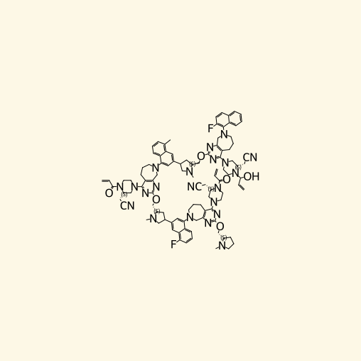 C=CC(=O)N1CCN(c2nc(OC[C@@H]3CC(c4cc(N5CCCc6c(nc(OC[C@@H]7CCCN7C)nc6N6CCN(C(=O)C=C)[C@@H](CC#N)C6)C5)c5cccc(F)c5c4)CN3C)nc3c2CCCN(c2cc(C4C[C@@H](COc5nc6c(c(N7CCN(C(O)C=C)[C@@H](CC#N)C7)n5)CCCN(c5c(F)ccc7ccccc57)C6)N(C)C4)cc4c(C)cccc24)C3)C[C@@H]1CC#N